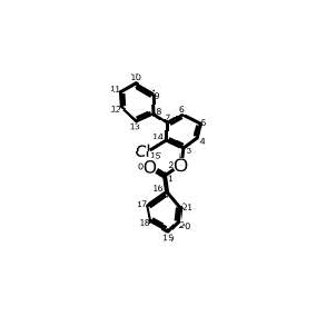 O=C(Oc1cccc(-c2[c]cccc2)c1Cl)c1ccccc1